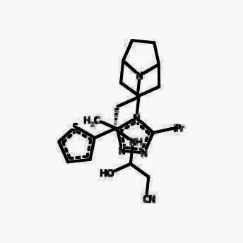 Cc1nnc(C(C)C)n1C1CC2CCC(C1)N2CC[C@H](NC(O)CC#N)c1cccs1